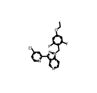 CCOc1cc(F)c(Cn2nc(-c3cc(Cl)ccn3)c3cnccc32)c(F)c1